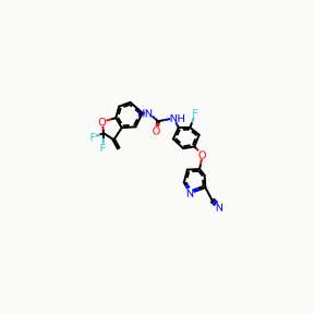 C=C1c2cc(NC(=O)Nc3ccc(Oc4ccnc(C#N)c4)cc3F)ccc2OC1(F)F